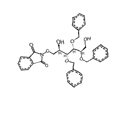 O=C1c2ccccc2C(=O)N1OC[C@@H](O)[C@@H](OCc1ccccc1)[C@H](OCc1ccccc1)[C@@H](CO)OCc1ccccc1